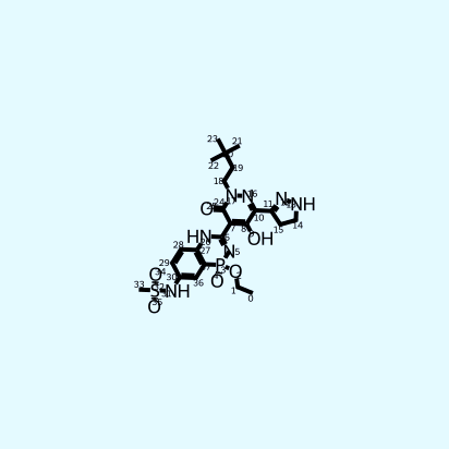 CCOP1(=O)N=C(c2c(O)c(C3=NNCC3)nn(CCC(C)(C)C)c2=O)Nc2ccc(NS(C)(=O)=O)cc21